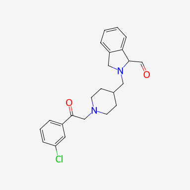 O=CC1c2ccccc2CN1CC1CCN(CC(=O)c2cccc(Cl)c2)CC1